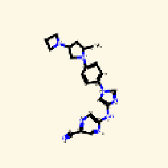 CC1CC(N2CCC2)CN1c1ccc(-n2cnc(Nc3cnc(C#N)cn3)c2)cc1